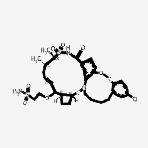 C[C@@H]1[C@@H](C)C/C=C/C(OCCS(N)(=O)=O)[C@@H]2CC[C@H]2CN2CCCCc3cc(Cl)ccc3COc3ccc(cc32)C(=O)NS1(=O)=O